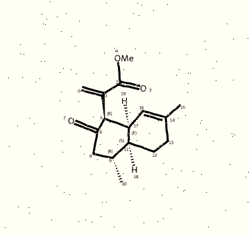 C=C(C(=O)OC)[C@@H]1C(=O)C[C@@H](C)[C@@H]2CCC(C)=C[C@H]12